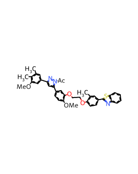 COc1ccc(-c2cc(-c3cc(C)c(C)c(OC)c3)nn2C(C)=O)cc1OCCOc1ccc(-c2nc3ccccc3s2)cc1C